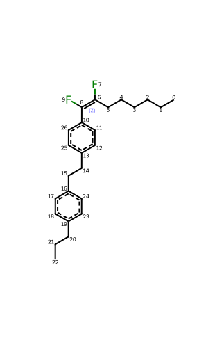 CCCCCC/C(F)=C(/F)c1ccc(CCc2ccc(CCC)cc2)cc1